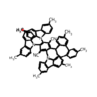 Cc1ccc2c(c1)-c1cc(C)ccc1C(c1c(C#N)c(-n3c4ccc(C)cc4c4cc(C)ccc43)c(-n3c4ccc(C)cc4c4cc(C)ccc43)c(C#N)c1-n1c3ccc(C)cc3c3cc(C)ccc31)CC2